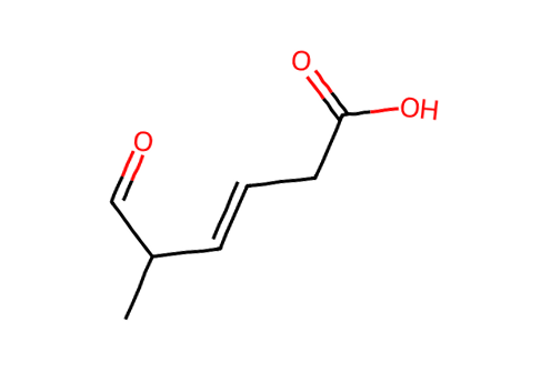 CC(C=O)C=CCC(=O)O